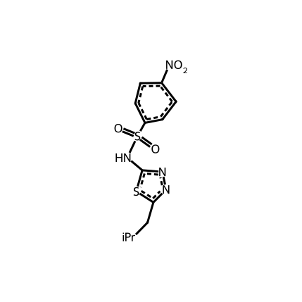 CC(C)Cc1nnc(NS(=O)(=O)c2ccc([N+](=O)[O-])cc2)s1